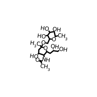 CC(=O)NC1C(O)CC(C)(OCC2OC(C)C(O)C(O)C2O)OC1C[C@H](O)CO